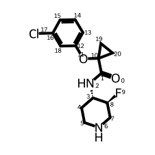 O=C(N[C@H]1CCNC[C@@H]1F)C1(Oc2cccc(Cl)c2)CC1